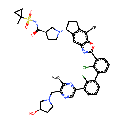 COc1nc(-c2cccc(-c3cccc(-c4nc5cc6c(c(C(F)(F)F)c5o4)CC[C@H]6N4CC[C@@H](C(=O)NS(=O)(=O)C5(C)CC5)C4)c3Cl)c2Cl)cnc1CN1CC[C@@H](O)C1